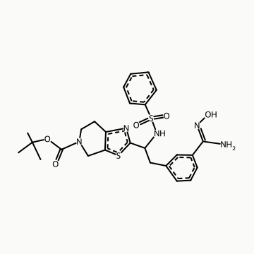 CC(C)(C)OC(=O)N1CCc2nc(C(Cc3cccc(C(N)=NO)c3)NS(=O)(=O)c3ccccc3)sc2C1